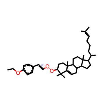 CCOc1ccc(/C=C/OOC2CCC3(C)C(=CCC4C3CCC3(C)C(C(C)CCCC=C(C)C)CCC43)C2(C)C)cc1